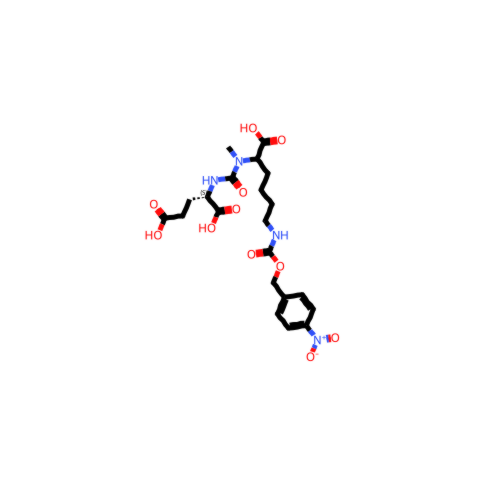 CN(C(=O)N[C@@H](CCC(=O)O)C(=O)O)C(CCCCNC(=O)OCc1ccc([N+](=O)[O-])cc1)C(=O)O